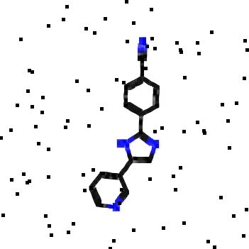 N#Cc1ccc(-c2ncc(-c3cccnc3)[nH]2)cc1